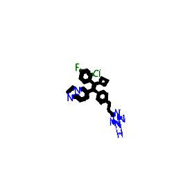 Fc1ccc(C(=C(c2ccc(C=Cc3nn[nH]n3)cc2)c2ccc3nccn3c2)C2CCC2)c(Cl)c1